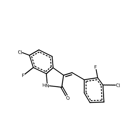 O=C1Nc2c(ccc(Cl)c2F)C1=Cc1cccc(Cl)c1F